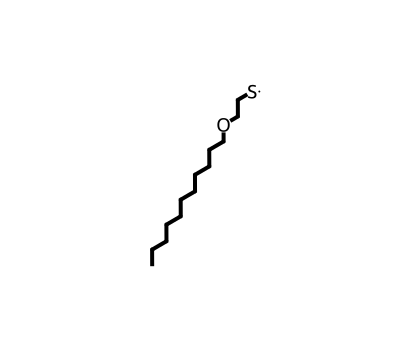 CCCCCCCCCCCOCC[S]